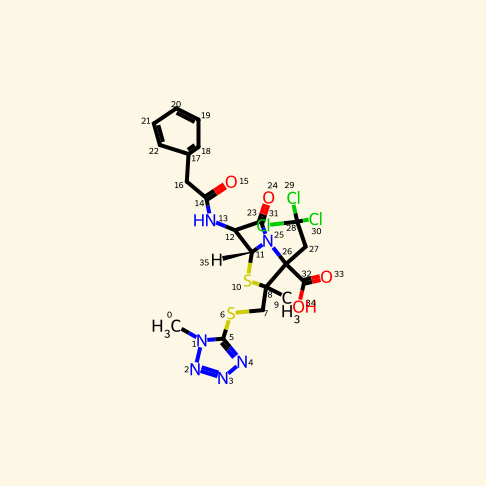 Cn1nnnc1SCC1(C)S[C@@H]2C(NC(=O)Cc3ccccc3)C(=O)N2C1(CC(Cl)(Cl)Cl)C(=O)O